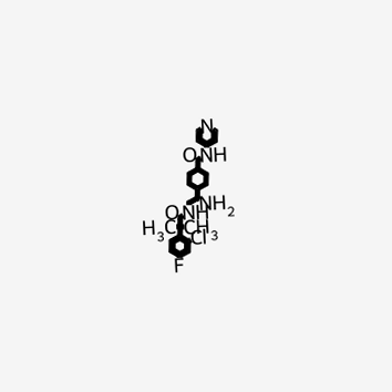 CC(C)(C(=O)NCC(N)C1CCC(C(=O)Nc2ccncc2)CC1)c1ccc(F)cc1Cl